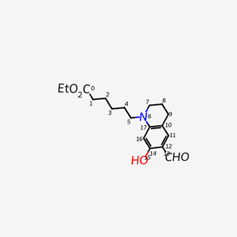 CCOC(=O)CCCCCN1CCCc2cc(C=O)c(O)cc21